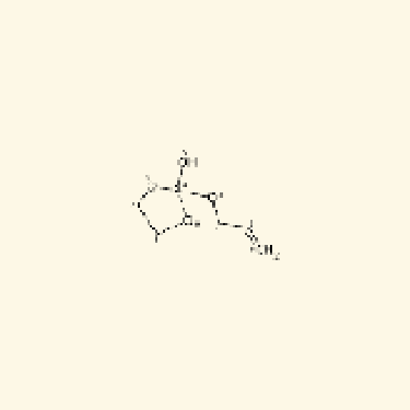 C=CCO[P]1(O)OCCO1